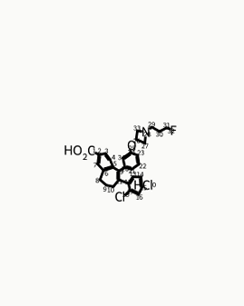 Cl.O=C(O)c1ccc2c(c1)CCCC(c1ccccc1Cl)=C2c1cccc(OC2CN(CCCF)C2)c1